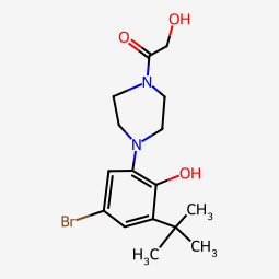 CC(C)(C)c1cc(Br)cc(N2CCN(C(=O)CO)CC2)c1O